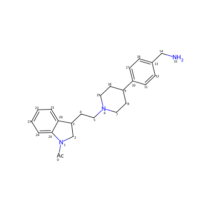 CC(=O)N1CC(CCN2CCC(c3ccc(CN)cc3)CC2)c2ccccc21